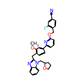 COc1cc(-c2cccc(OCc3ccc(C#N)cc3F)n2)ccc1Cc1nc2ccccc2n1CC1CCCO1